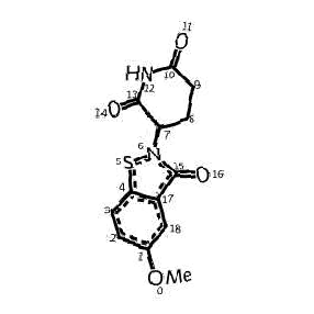 COc1ccc2sn(C3CCC(=O)NC3=O)c(=O)c2c1